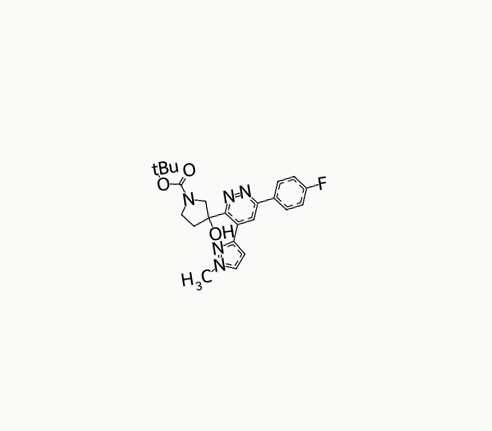 Cn1ccc(-c2cc(-c3ccc(F)cc3)nnc2C2(O)CCN(C(=O)OC(C)(C)C)C2)n1